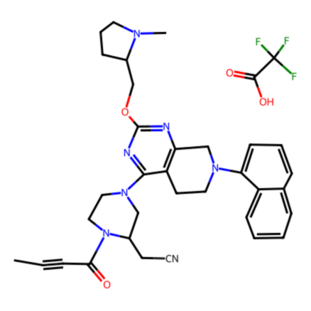 CC#CC(=O)N1CCN(c2nc(OCC3CCCN3C)nc3c2CCN(c2cccc4ccccc24)C3)CC1CC#N.O=C(O)C(F)(F)F